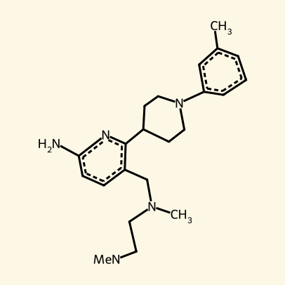 CNCCN(C)Cc1ccc(N)nc1C1CCN(c2cccc(C)c2)CC1